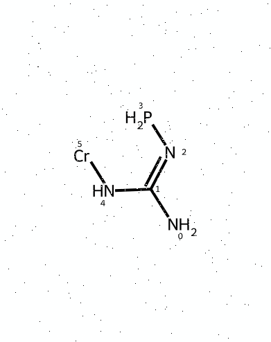 NC(=NP)[NH][Cr]